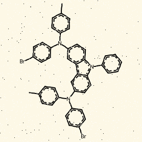 Cc1ccc(N(c2ccc(Br)cc2)c2ccc3c(c2)c2cc(N(c4ccc(C)cc4)c4ccc(Br)cc4)ccc2n3-c2ccccc2)cc1